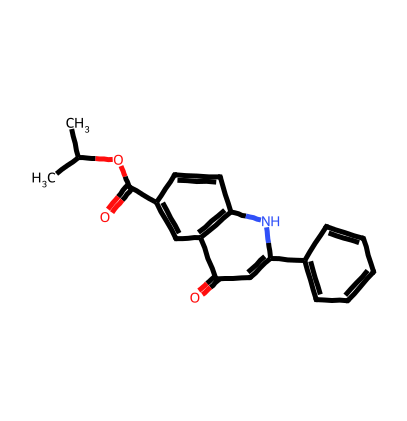 CC(C)OC(=O)c1ccc2[nH]c(-c3ccccc3)cc(=O)c2c1